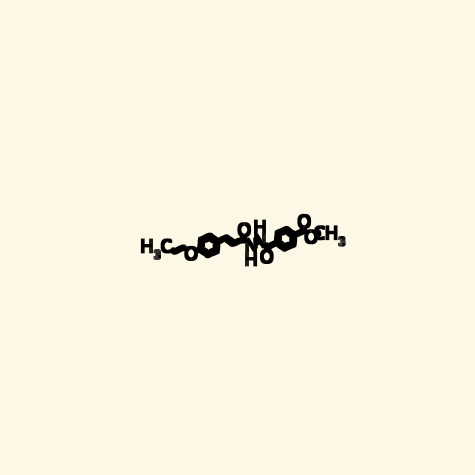 CCCOc1ccc(/C=C/C(=O)NNC(=O)c2ccc(C(=O)OC)cc2)cc1